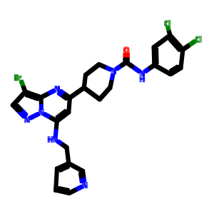 O=C(Nc1ccc(Cl)c(Cl)c1)N1CCC(c2cc(NCc3cccnc3)n3ncc(Br)c3n2)CC1